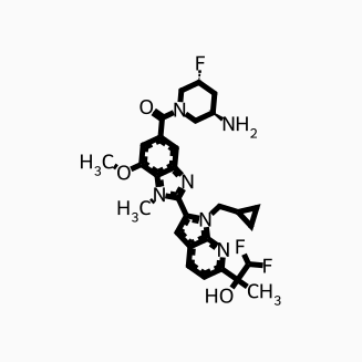 COc1cc(C(=O)N2C[C@H](N)C[C@@H](F)C2)cc2nc(-c3cc4ccc(C(C)(O)C(F)F)nc4n3CC3CC3)n(C)c12